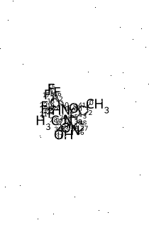 Cc1ccc(-c2c(C(=O)NCc3cc(C(F)(F)F)cc(C(F)(F)F)c3)n(CC(C)CCO)c(=O)c3ncccc23)cc1